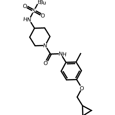 Cc1cc(OCC2CC2)ccc1NC(=O)N1CCC(NS(=O)(=O)C(C)(C)C)CC1